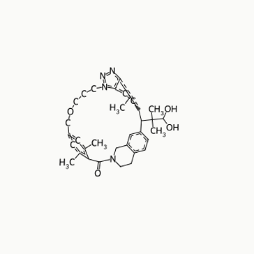 Cc1cc2cc(C)c1C(=O)N1CCc3ccc(cc3C1)C(C(C)(C)C(O)O)c1ccc3c(nnn3CCCOC2)c1C